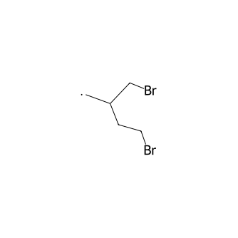 [CH2]C(CBr)CCBr